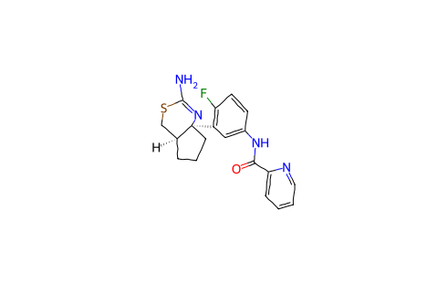 NC1=N[C@@]2(c3cc(NC(=O)c4ccccn4)ccc3F)CCC[C@H]2CS1